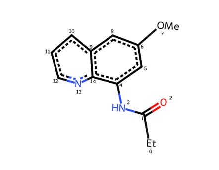 CCC(=O)Nc1cc(OC)cc2cccnc12